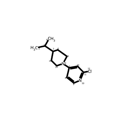 CC(C)C1CCN(c2ccnc(Cl)c2)CC1